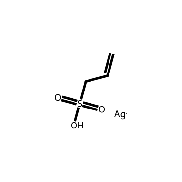 C=CCS(=O)(=O)O.[Ag]